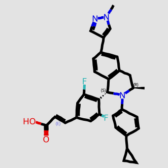 C[C@@H]1Cc2cc(-c3cnn(C)c3)ccc2[C@@H](c2c(F)cc(/C=C/C(=O)O)cc2F)N1c1ccc(C2CC2)cc1